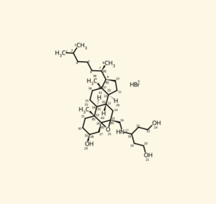 Br.CC(C)CCC[C@@H](C)[C@H]1CC[C@H]2[C@@H]3C[C@]4(CNC(CCO)CCO)O[C@@]45C[C@@H](O)CC[C@]5(C)[C@H]3CC[C@]12C